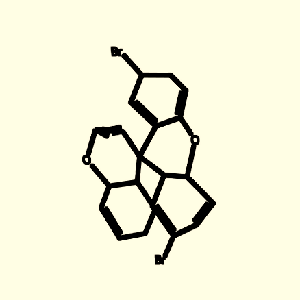 BrC1=CC2C(C=C1)OC1=CCC(Br)C=C1C21C2C=CC=CC2OC2C=CCCC21